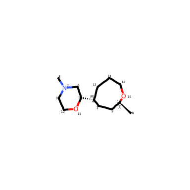 C[C@H]1CC[C@H](C2CN(C)CCO2)CCCO1